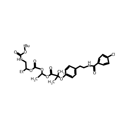 CCC(CNC(=O)OC(C)(C)C)OC(=O)OC(C)OC(=O)C(C)(C)Oc1ccc(CCNC(=O)c2ccc(Cl)cc2)cc1